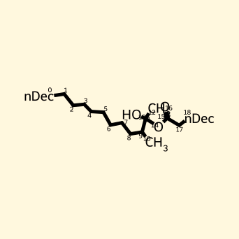 CCCCCCCCCCCCCCCCCCC(C)C(C)(O)OC(=O)CCCCCCCCCCC